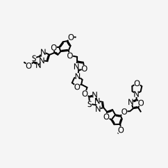 COc1cc(OCc2coc(N3CCOC(COc4nn5cc(-c6cc7c(OCc8nc(N9CCOCC9)oc8C)cc(OC)cc7o6)nc5s4)C3)n2)c2cc(-c3cn4nc(OC)sc4n3)oc2c1